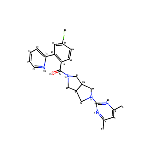 Cc1cc(C)nc(N2CC3CN(C(=O)c4ccc(F)cc4-c4ccccn4)CC3C2)n1